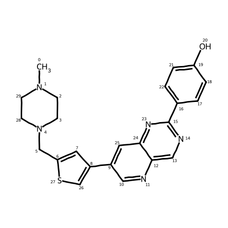 CN1CCN(Cc2cc(-c3cnc4cnc(-c5ccc(O)cc5)nc4c3)cs2)CC1